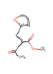 COC(=O)/C(=C\c1ccco1)C(C)=O